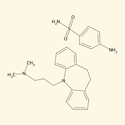 CN(C)CCCN1c2ccccc2CCc2ccccc21.Nc1ccc(S(N)(=O)=O)cc1